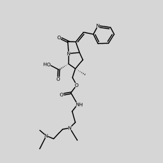 CN(C)CCN(C)CCNC(=O)OC[C@]1(C)CC2/C(=C\c3ccccn3)C(=O)N2[C@H]1C(=O)O